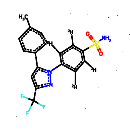 [2H]c1c([2H])c(S(N)(=O)=O)c([2H])c([2H])c1-n1nc(C(F)(F)F)cc1-c1ccc(C)cc1